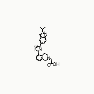 CC(C)n1cc2cc(-c3nc(-c4cccc5c4CCN(CC(=O)O)C5)no3)ccc2n1